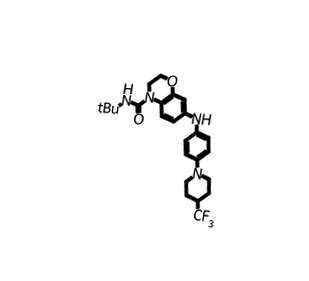 CC(C)(C)NC(=O)N1CCOc2cc(Nc3ccc(N4CCC(C(F)(F)F)CC4)cc3)ccc21